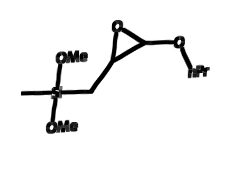 CCCOC1OC1C[Si](C)(OC)OC